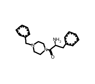 N[C@@H](Cc1ccccc1)C(=O)N1CCN(Cc2ccccc2)CC1